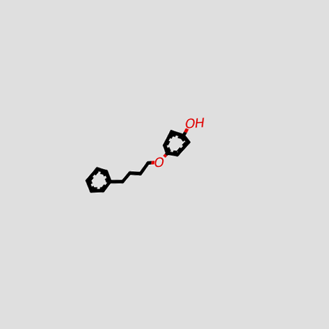 Oc1ccc(OCCCCc2ccccc2)cc1